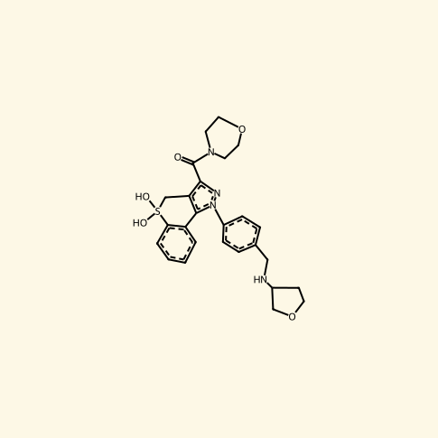 O=C(c1nn(-c2ccc(CNC3CCOC3)cc2)c2c1CS(O)(O)c1ccccc1-2)N1CCOCC1